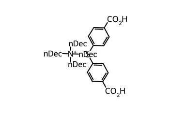 CCCCCCCCCC[N+](CCCCCCCCCC)(CCCCCCCCCC)CCCCCCCCCC.O=C(O)c1ccc(Sc2ccc(C(=O)O)cc2)cc1